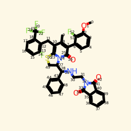 COc1cccc(-c2c(C)c(Cc3c(F)cccc3C(F)(F)F)c3n(c2=O)C(C(NCCN2C(=O)c4ccccc4C2=O)c2ccccc2)CS3)c1F